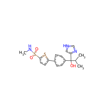 CNS(=O)(=O)c1ccc(-c2ccc(C(O)(c3c[nH]cn3)C(C)C)cc2)s1